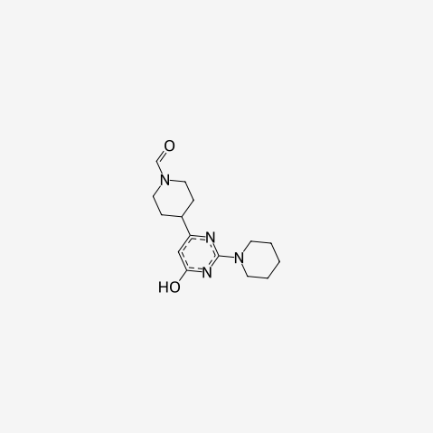 O=CN1CCC(c2cc(O)nc(N3CCCCC3)n2)CC1